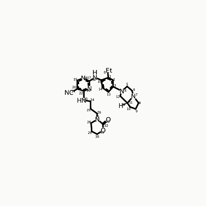 CCc1cc(N2CCN3CCC[C@@H]3C2)ccc1Nc1ncc(C#N)c(NCCCN2CCCOC2=O)n1